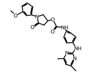 COc1cccc(N2CC(OC(=O)Nc3ccc(Nc4nc(C)cc(C)n4)cc3)CC2=O)c1